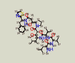 CC[C@H](C)[C@@H]([C@H](CC(=O)N1CCC[C@H]1[C@H](OC)[C@@H](C)C(=O)N[C@@H](Cc1ccccc1)c1nccs1)OC)N(C)C(=O)[C@@H](NC(=O)[C@H](C(C)C)N(C)C(=O)[C@H](CC(C)C)NC)C(C)C